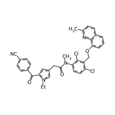 CCn1cc(CC(=O)N(C)c2ccc(Cl)c(COc3cccc4ccc(C)nc34)c2Cl)cc1C(=O)c1ccc(C#N)cc1